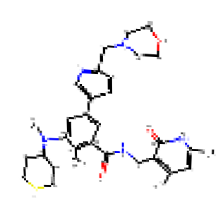 Cc1cc(C)c(CNC(=O)c2cc(-c3ccc(CN4CCOCC4)nc3)cc(N(C)C3CCSCC3)c2C)c(=O)[nH]1